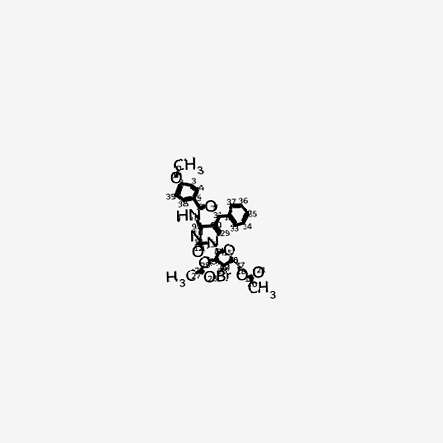 COc1ccc(C(=O)Nc2nc(=O)n([C@@H]3O[C@H](COC(C)=O)[C@H](Br)[C@H]3OC(C)=O)cc2Cc2ccccc2)cc1